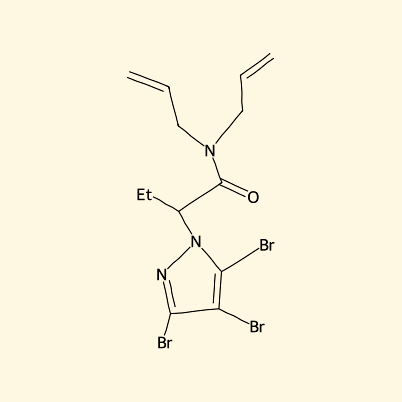 C=CCN(CC=C)C(=O)C(CC)n1nc(Br)c(Br)c1Br